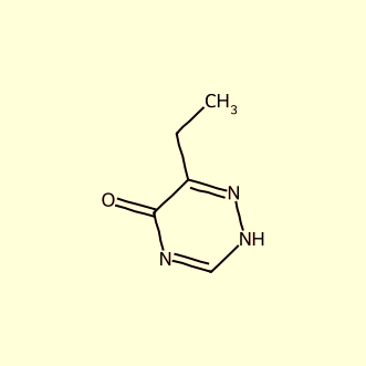 CCc1n[nH]cnc1=O